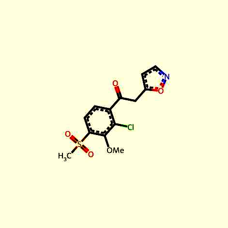 COc1c(S(C)(=O)=O)ccc(C(=O)Cc2ccno2)c1Cl